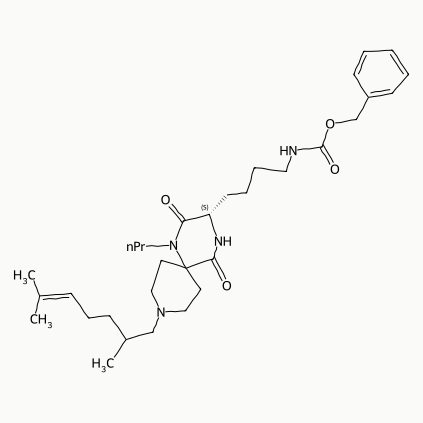 CCCN1C(=O)[C@H](CCCCNC(=O)OCc2ccccc2)NC(=O)C12CCN(CC(C)CCC=C(C)C)CC2